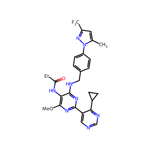 CCC(=O)Nc1c(NCc2ccc(-n3nc(C(F)(F)F)cc3C)cc2)nc(-c2cncnc2C2CC2)nc1OC